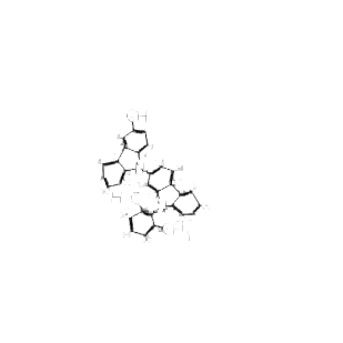 Cc1ccc2c(c1)c1ccccc1n2-c1ccc2c3ccccc3n(-c3c(C)cccc3C)c2c1